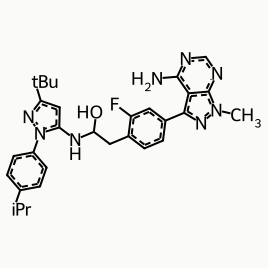 CC(C)c1ccc(-n2nc(C(C)(C)C)cc2NC(O)Cc2ccc(-c3nn(C)c4ncnc(N)c34)cc2F)cc1